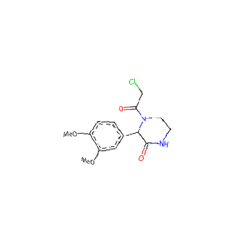 COc1ccc(C2C(=O)NCCN2C(=O)CCl)cc1OC